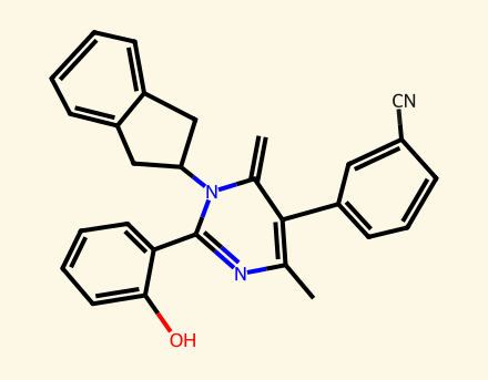 C=C1C(c2cccc(C#N)c2)=C(C)N=C(c2ccccc2O)N1C1Cc2ccccc2C1